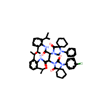 CC(C)c1cccc(C(C)C)c1NC(=O)C(C(C(=O)Nc1c(C(C)C)cccc1C(C)C)N1C(=O)N(c2ccc(Cl)cc2)C2(CCCCC2)C1=O)N1CN(c2ccccc2)C2(CCCCC2)C1=O